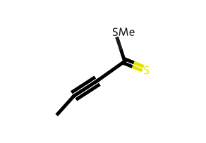 CC#CC(=S)SC